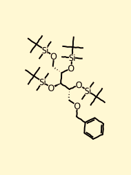 CC(C)(C)[Si](C)(C)OC[C@H](O[Si](C)(C)C(C)(C)C)[C@H](O[Si](C)(C)C(C)(C)C)[C@@H](COCc1ccccc1)O[Si](C)(C)C(C)(C)C